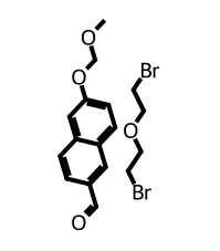 BrCCOCCBr.COCOc1ccc2cc(C=O)ccc2c1